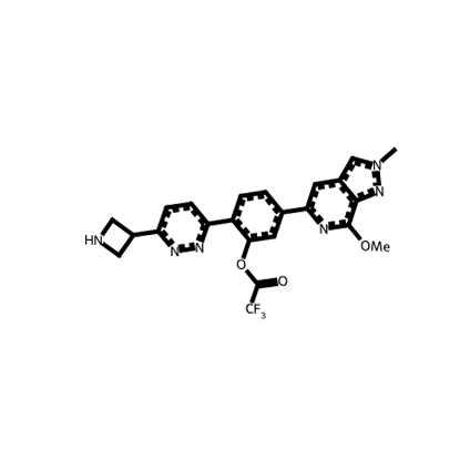 COc1nc(-c2ccc(-c3ccc(C4CNC4)nn3)c(OC(=O)C(F)(F)F)c2)cc2cn(C)nc12